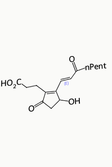 CCCCCC(=O)/C=C/C1=C(CCC(=O)O)C(=O)CC1O